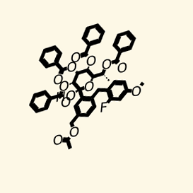 COc1ccc(Cc2ccc(COC(C)=O)cc2[C@@]2(O)O[C@H]([C@@H](C)OC(=O)c3ccccc3)[C@@H](OC(=O)c3ccccc3)[C@H](OC(=O)c3ccccc3)[C@H]2OC(=O)c2ccccc2)c(F)c1